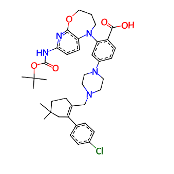 CC1(C)CCC(CN2CCN(c3ccc(C(=O)O)c(N4CCCOc5nc(NC(=O)OC(C)(C)C)ccc54)c3)CC2)=C(c2ccc(Cl)cc2)C1